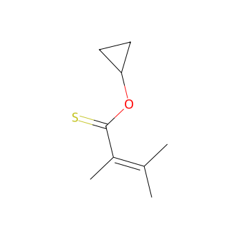 CC(C)=C(C)C(=S)OC1CC1